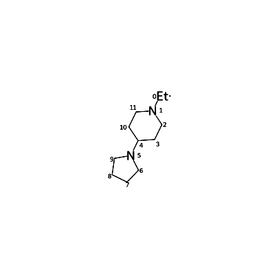 C[CH]N1CCC(N2CCCC2)CC1